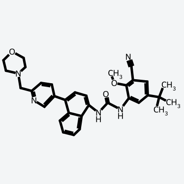 COc1c(C#N)cc(C(C)(C)C)cc1NC(=O)Nc1ccc(-c2ccc(CN3CCOCC3)nc2)c2ccccc12